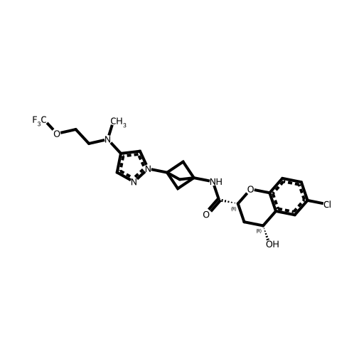 CN(CCOC(F)(F)F)c1cnn(C23CC(NC(=O)[C@H]4C[C@@H](O)c5cc(Cl)ccc5O4)(C2)C3)c1